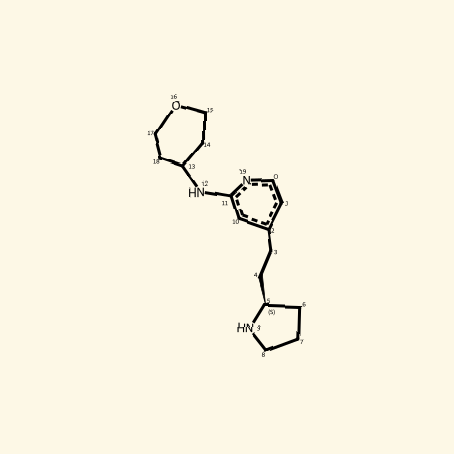 c1cc(CC[C@H]2CCCN2)cc(NC2CCOCC2)n1